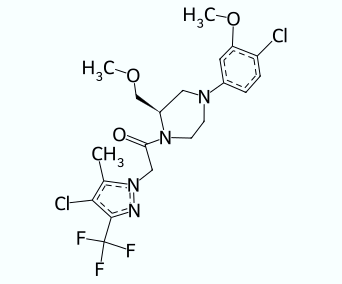 COC[C@H]1CN(c2ccc(Cl)c(OC)c2)CCN1C(=O)Cn1nc(C(F)(F)F)c(Cl)c1C